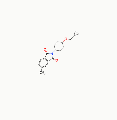 Cc1ccc2c(c1)C(=O)N([C@H]1CC[C@H](OCC3CC3)CC1)C2=O